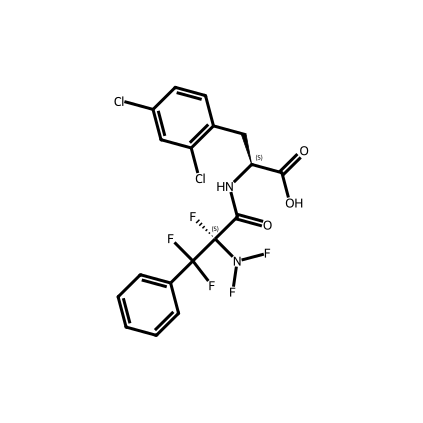 O=C(O)[C@H](Cc1ccc(Cl)cc1Cl)NC(=O)[C@@](F)(N(F)F)C(F)(F)c1ccccc1